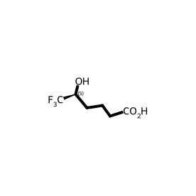 O=C(O)CCC[C@H](O)C(F)(F)F